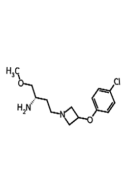 COC[C@@H](N)CCN1CC(Oc2ccc(Cl)cc2)C1